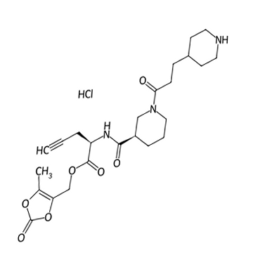 C#CC[C@@H](NC(=O)[C@@H]1CCCN(C(=O)CCC2CCNCC2)C1)C(=O)OCc1oc(=O)oc1C.Cl